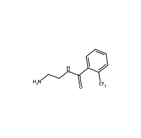 NCCNC(=O)c1ccccc1C(F)(F)F